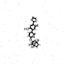 Oc1cc(-c2nnco2)c(F)cc1-c1ccc(O[C@@H]2C[C@H]3CC[C@H](N3)[C@@H]2F)nn1